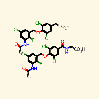 CCC(=O)Nc1cc(Cl)cc(COc2c(Cl)cc(C(=O)NCC(=O)O)cc2Cl)c1F.CCC(=O)Nc1cc(Cl)cc(COc2c(Cl)cc(CC(=O)O)cc2Cl)c1F